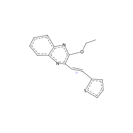 CCOc1nc2ccccc2nc1/C=C/c1cccs1